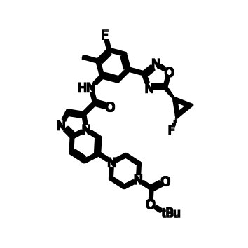 Cc1c(F)cc(-c2noc([C@H]3C[C@@H]3F)n2)cc1NC(=O)c1cnc2ccc(N3CCN(C(=O)OC(C)(C)C)CC3)cn12